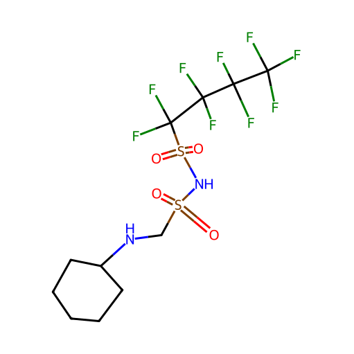 O=S(=O)(CNC1CCCCC1)NS(=O)(=O)C(F)(F)C(F)(F)C(F)(F)C(F)(F)F